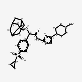 CC(=O)N1CCC(c2csc(NC(=O)C(OC34CC5CC(CC(C5)C3)C4)c3ccc(S(=O)(=O)C4CC4)cc3)n2)CC1